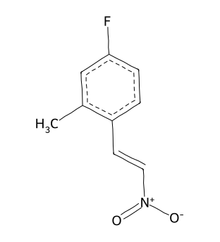 Cc1cc(F)ccc1C=C[N+](=O)[O-]